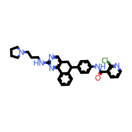 O=C(Nc1ccc(C2Cc3cnc(NCCCN4CCCC4)nc3-c3ccccc32)cc1)c1cccnc1Cl